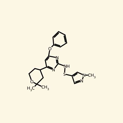 Cn1cc(SNc2nc(Oc3ccccc3)cc(C3CCOC(C)(C)C3)n2)cn1